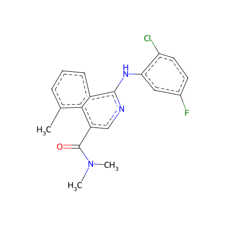 Cc1cccc2c(Nc3cc(F)ccc3Cl)ncc(C(=O)N(C)C)c12